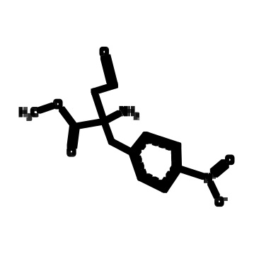 COC(=O)C(N)(CC=O)Cc1ccc([N+](=O)[O-])cc1